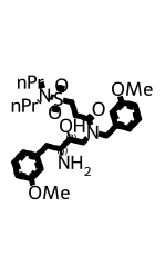 CCCN(CCC)S(=O)(=O)CCC(=O)N(Cc1cccc(OC)c1)C[C@@H](O)[C@@H](N)Cc1cccc(OC)c1